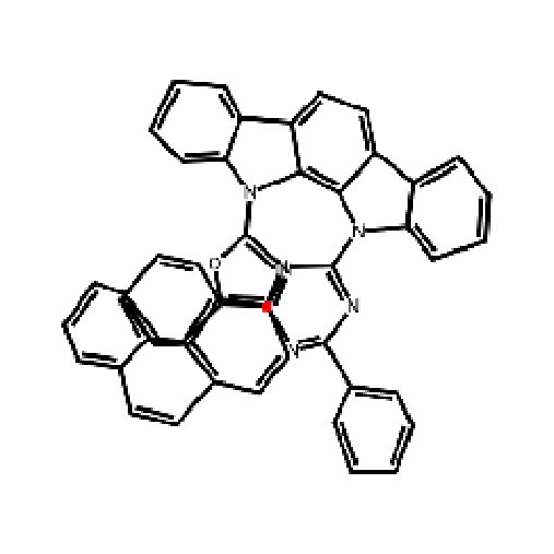 c1ccc(-c2nc(-c3ccccc3)nc(-n3c4ccccc4c4ccc5c6ccccc6n(-c6nc7ccc8ccc9ccccc9c8c7o6)c5c43)n2)cc1